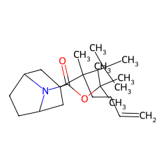 C=CCCC(C)(C1CC2CCC(C1)N2C(=O)OC(C)(C)C)C(C)(C)C